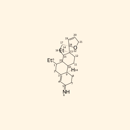 CCC1CC2=CC(=N)CC[C@@H]2C2CC[C@@]3(CC)C(CC[C@@]34C=CCO4)C12